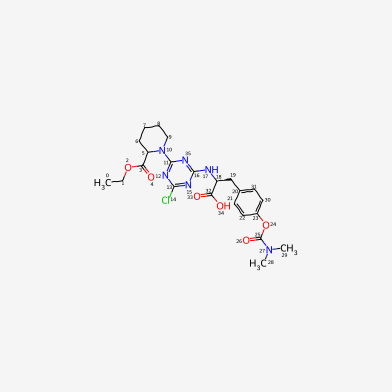 CCOC(=O)C1CCCCN1c1nc(Cl)nc(N[C@@H](Cc2ccc(OC(=O)N(C)C)cc2)C(=O)O)n1